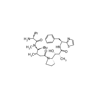 CC[C@H](C)[C@@H]([C@H](C)CC(=O)N1CCC[C@H]1[C@H](O)[C@@H](C)C(=O)N[C@@H](Cc1ccccc1)c1nccs1)N(C)C(=O)[C@@H](N)C(C)C